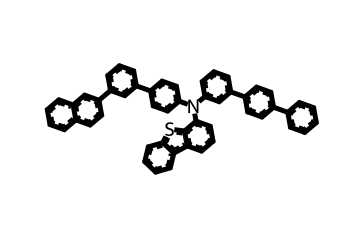 c1ccc(-c2ccc(-c3cccc(N(c4ccc(-c5cccc(-c6ccc7ccccc7c6)c5)cc4)c4cccc5c4sc4ccccc45)c3)cc2)cc1